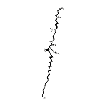 CCCCCCCCCCCCCCCCCC(=O)N(N)CC(=O)NCCCNCCCCNCCCN